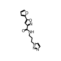 O=C(NCCCn1ccnn1)c1cc(-c2ccco2)on1